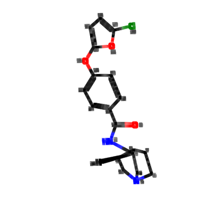 O=C(N[C@H]1CN2CCC1CC2)c1ccc(Oc2ccc(Cl)o2)cc1